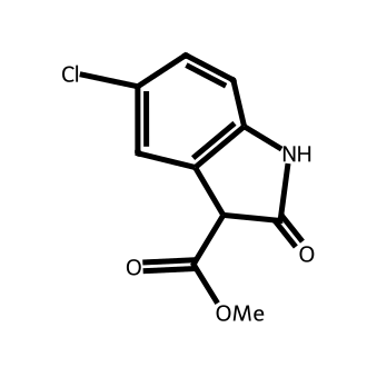 COC(=O)C1C(=O)Nc2ccc(Cl)cc21